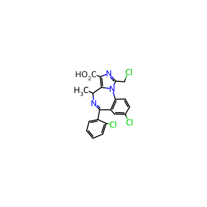 CC1N=C(c2ccccc2Cl)c2cc(Cl)ccc2-n2c(CCl)nc(C(=O)O)c21